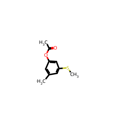 [CH2]c1cc(OC(C)=O)cc(SC)c1